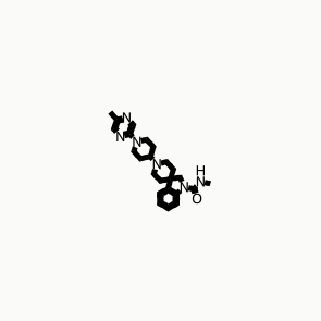 CNC(=O)N1CC2(CCN(C3CCN(c4cnc(C)cn4)CC3)CC2)c2ccccc21